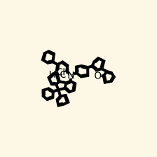 C/C=C(\C=C/C(C)N(c1ccc(-c2cccc3c2oc2ccccc23)cc1)c1cccc2c1-c1ccccc1C2(c1ccccc1)c1ccccc1)c1ccccc1